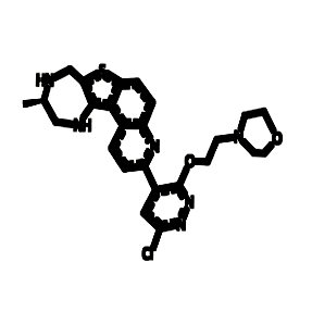 C[C@@H]1CNc2c(sc3ccc4nc(-c5cc(Cl)nnc5OCCN5CCOCC5)ccc4c23)CN1